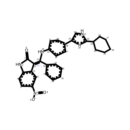 O=C1Nc2ccc([N+](=O)[O-])cc2/C1=C(/Nc1ccc(-c2c[nH]c(C3CCCCC3)n2)cc1)c1ccccc1